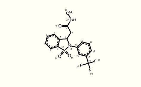 O=C(CC1c2ccccc2S(=O)(=O)N1c1cccc(C(F)(F)F)c1)NO